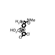 CNC(=O)c1cn(C)c2cc(N(CC(=O)O)S(=O)(=O)c3cc(Cl)cc(Cl)c3)ccc12